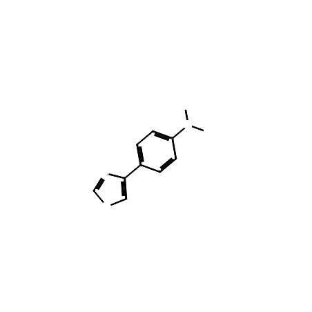 C[S+]([O-])c1ccc(-c2cs[c]n2)cc1